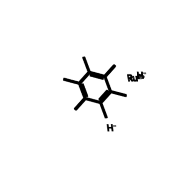 Cc1c(C)c(C)c(C)c(C)c1C.[H-].[H-].[Ru+2]